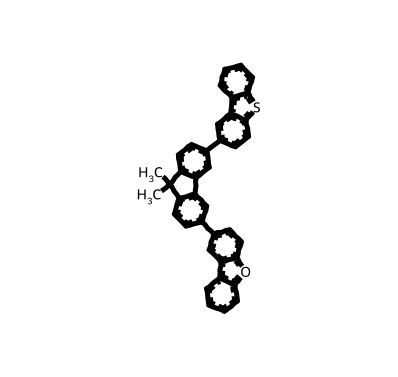 CC1(C)c2ccc(-c3ccc4oc5ccccc5c4c3)cc2-c2cc(-c3ccc4sc5ccccc5c4c3)ccc21